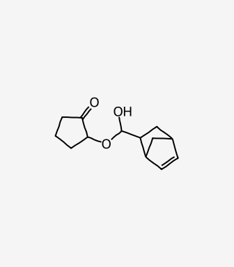 O=C1CCCC1OC(O)C1CC2C=CC1C2